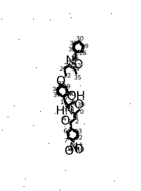 C/C(=C/C(=O)c1ccc([N+](=O)[O-])cc1)NC(Cc1ccc(OCCc2nc(-c3ccccc3)oc2C)cc1)C(=O)O